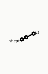 CCCCCCCc1ccc(-c2ccc(C#CC3CCC(CC)CC3)cc2)cc1